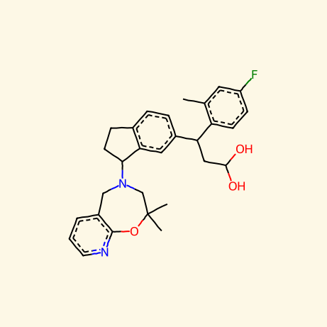 Cc1cc(F)ccc1C(CC(O)O)c1ccc2c(c1)C(N1Cc3cccnc3OC(C)(C)C1)CC2